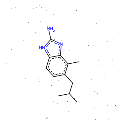 Cc1c(CC(C)C)ccc2[nH]c(N)nc12